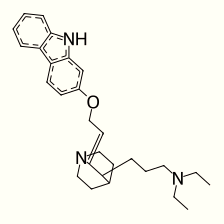 CCN(CC)CCCC1C(=CCOc2ccc3c(c2)[nH]c2ccccc23)N2CCC1CC2